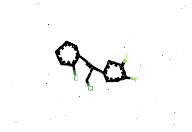 Fc1ccc(C(=Cc2ccccc2Cl)CCl)cc1F